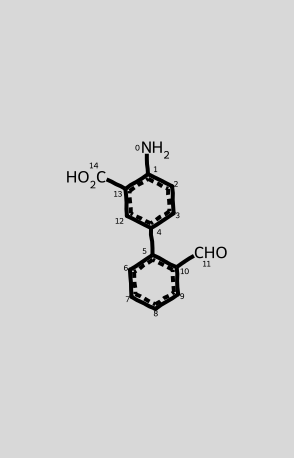 Nc1ccc(-c2ccccc2C=O)cc1C(=O)O